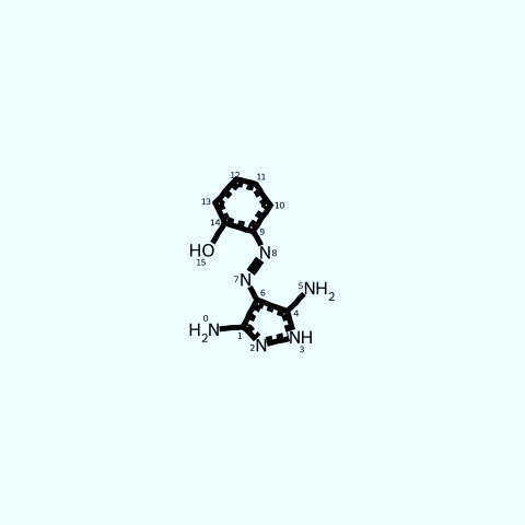 Nc1n[nH]c(N)c1N=Nc1ccccc1O